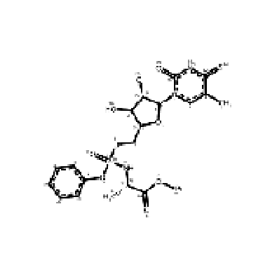 Cc1cn([C@H]2O[C@@H](CO[P@](=O)(N[C@@H](C)C(=O)OC(C)C)Oc3ccccc3)C(O)[C@H]2Cl)c(=O)[nH]c1=S